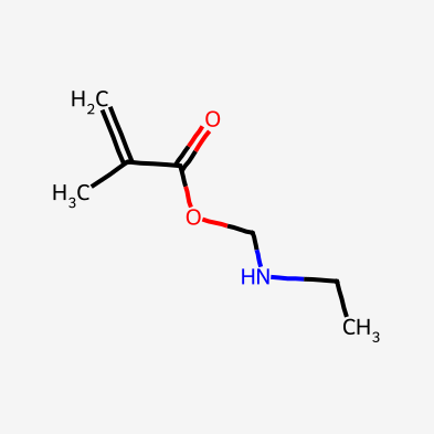 C=C(C)C(=O)OCNCC